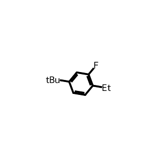 CCc1ccc(C(C)(C)C)cc1F